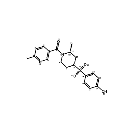 Cc1ccc(C(=O)N2CCN(S(=O)(=O)c3ccc(O)cc3)C[C@@H]2C)cn1